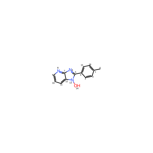 Cc1ccc(-c2nc3ncccc3n2O)cc1